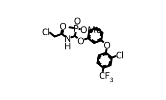 COP(C)(=O)C(NC(=O)CCl)Oc1cccc(Oc2ccc(C(F)(F)F)cc2Cl)c1